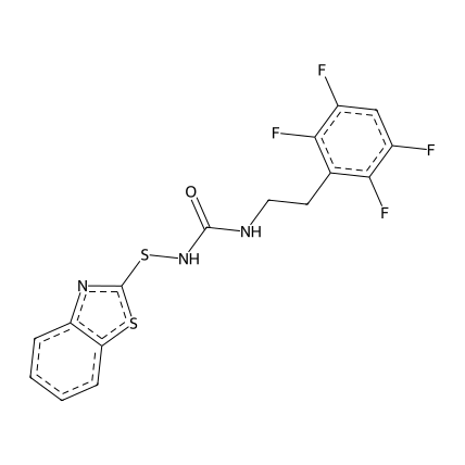 O=C(NCCc1c(F)c(F)cc(F)c1F)NSc1nc2ccccc2s1